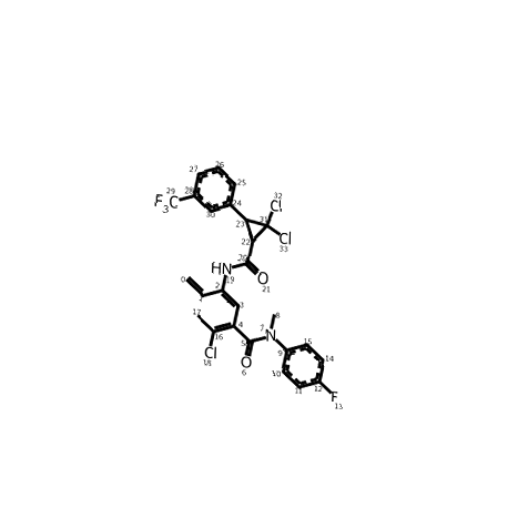 C=C/C(=C\C(C(=O)N(C)c1ccc(F)cc1)=C(/C)Cl)NC(=O)C1C(c2cccc(C(F)(F)F)c2)C1(Cl)Cl